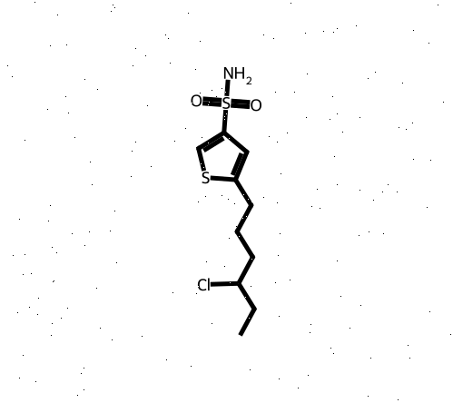 CCC(Cl)CCCc1cc(S(N)(=O)=O)cs1